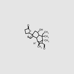 C=C1C(C=O)[C@@]2(C)C[C@@H]1C1C3CC[C@@]4(CCC(=O)O4)C3(C)C[C@@H](O)C1C2(C)CC